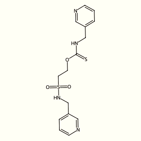 O=S(=O)(CCOC(=S)NCc1cccnc1)NCc1cccnc1